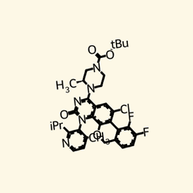 Cc1ccnc(C(C)C)c1-n1c(=O)nc(N2CCN(C(=O)OC(C)(C)C)C[C@@H]2C)c2cc(Cl)c3c(c21)OCc1ccc(F)c(F)c1-3